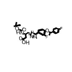 CC(Oc1ccc(-c2nnn(CC(CC(=O)O)NC(=O)OC(C)(C)C)n2)cc1F)c1ccc(F)cc1